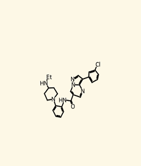 CCNC1CCN(c2ccccc2NC(=O)c2cnc3c(-c4cccc(Cl)c4)cnn3c2)CC1